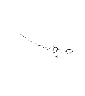 CCCCCCCCCCCCCCCC(=O)Nc1c(Cl)cc(NC(=O)c2ccccc2)c(OC(C)=O)c1Cl